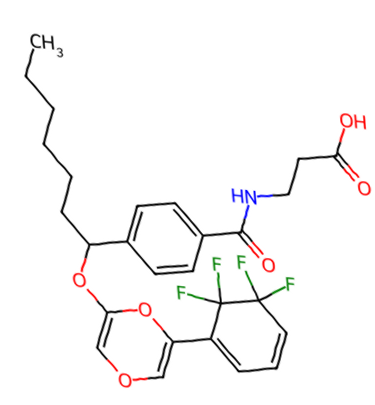 CCCCCCC(OC1=COC=C(C2=CC=CC(F)(F)C2(F)F)O1)c1ccc(C(=O)NCCC(=O)O)cc1